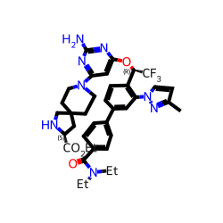 CCOC(=O)[C@@H]1CC2(CCN(c3cc(O[C@H](c4ccc(-c5ccc(C(=O)N(CC)CC)cc5)cc4-n4ccc(C)n4)C(F)(F)F)nc(N)n3)CC2)CN1